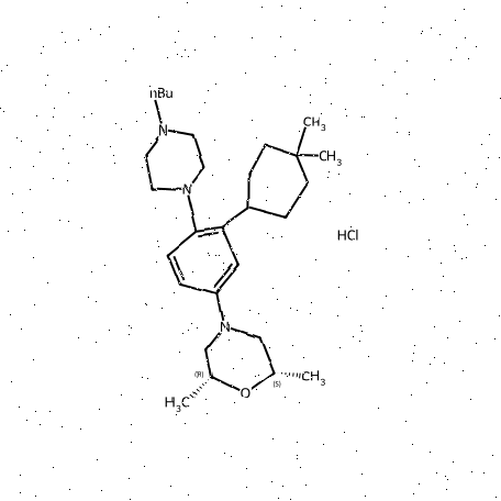 CCCCN1CCN(c2ccc(N3C[C@@H](C)O[C@@H](C)C3)cc2C2CCC(C)(C)CC2)CC1.Cl